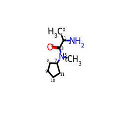 CC(N)C(=O)N(C)C1CCCC1